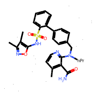 CCCN(Cc1ccc(-c2ccccc2S(=O)(=O)Nc2onc(C)c2C)cc1)c1nccc(C)c1C(N)=O